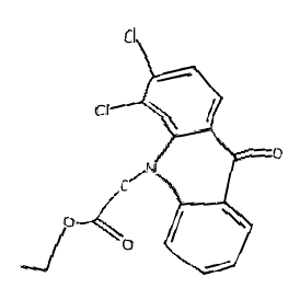 CCOC(=O)Cn1c2ccccc2c(=O)c2ccc(Cl)c(Cl)c21